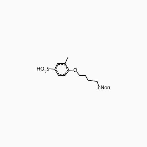 CCCCCCCCCCCCCOc1ccc(S(=O)(=O)O)cc1C